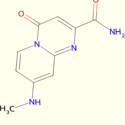 CNc1ccn2c(=O)cc(C(N)=O)nc2c1